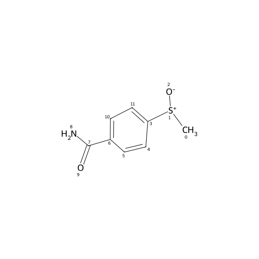 C[S+]([O-])c1ccc(C(N)=O)cc1